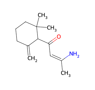 C=C1CCCC(C)(C)C1C(=O)C=C(C)N